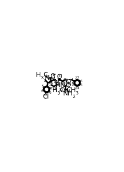 CN1CC(c2ccc(Cl)cc2)[C@@]2(CCCN(C(=O)C(COCc3ccccc3)NC(=O)C(C)(C)N)C2)C1=O